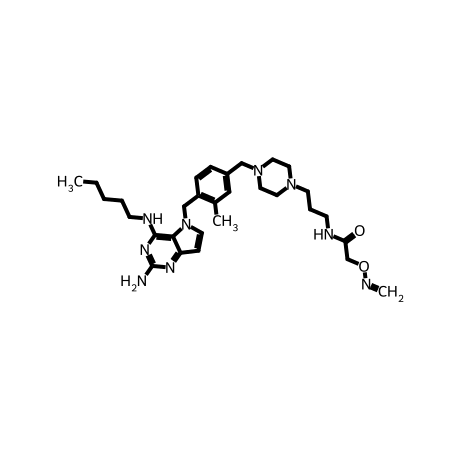 C=NOCC(=O)NCCCN1CCN(Cc2ccc(Cn3ccc4nc(N)nc(NCCCCC)c43)c(C)c2)CC1